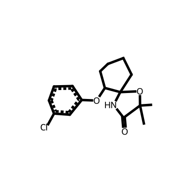 CC1(C)OC2(CCCCC2Oc2cccc(Cl)c2)NC1=O